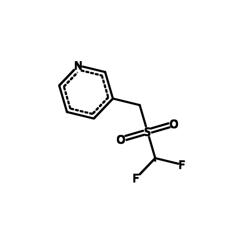 O=S(=O)(Cc1cccnc1)[C](F)F